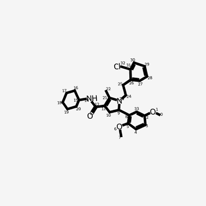 COc1ccc(OC)c(C2CC(C(=O)NC3CCCCC3)=C(C)N2CCc2ccccc2Cl)c1